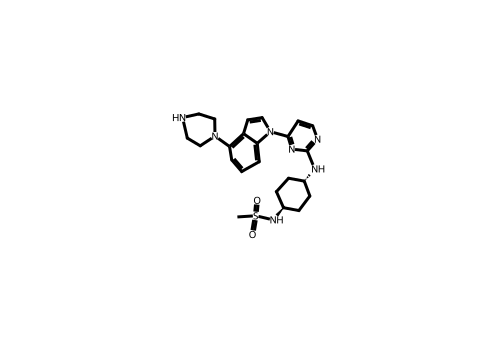 CS(=O)(=O)N[C@H]1CC[C@H](Nc2nccc(-n3ccc4c(N5CCNCC5)cccc43)n2)CC1